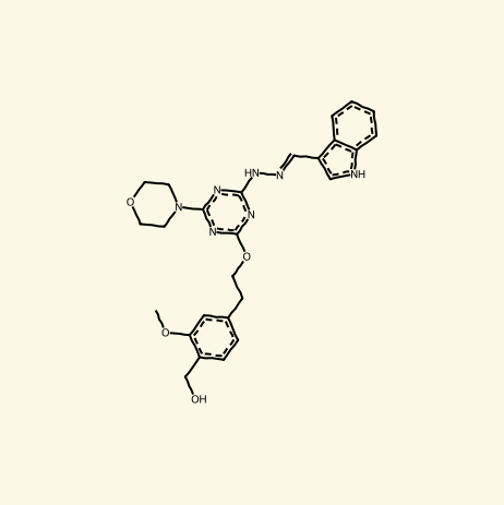 COc1cc(CCOc2nc(N/N=C/c3c[nH]c4ccccc34)nc(N3CCOCC3)n2)ccc1CO